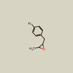 CC(=O)c1ccc(CC2OC2C)cc1